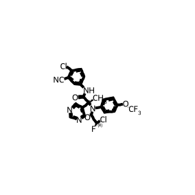 C[C@](C(=O)Nc1ccc(Cl)c(C#N)c1)(c1cncnc1)N(C(=O)[C@H](F)Cl)c1ccc(OC(F)(F)F)cc1